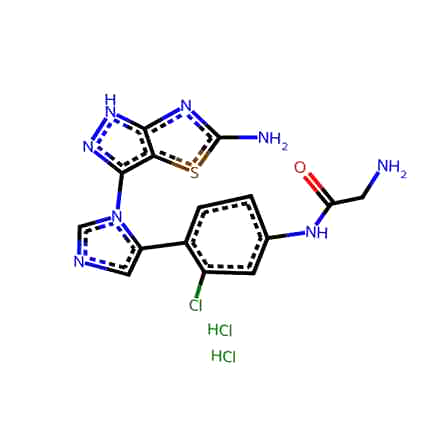 Cl.Cl.NCC(=O)Nc1ccc(-c2cncn2-c2n[nH]c3nc(N)sc23)c(Cl)c1